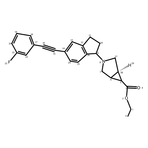 CCOC(=O)C1C2CN(C3CCc4cc(C#Cc5cccc(F)c5)ccc43)C[C@H]21